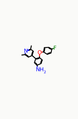 Cc1cc(-c2cc(N)ccc2Oc2ccc(F)cc2)cc(C)n1